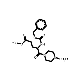 CCOC(=O)N1CCN(C(=O)C(CCC(=O)OC(C)(C)C)NC(=O)OCc2ccccc2)CC1